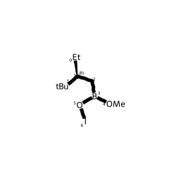 CC[C@@H](CB(OC)OI)C(C)(C)C